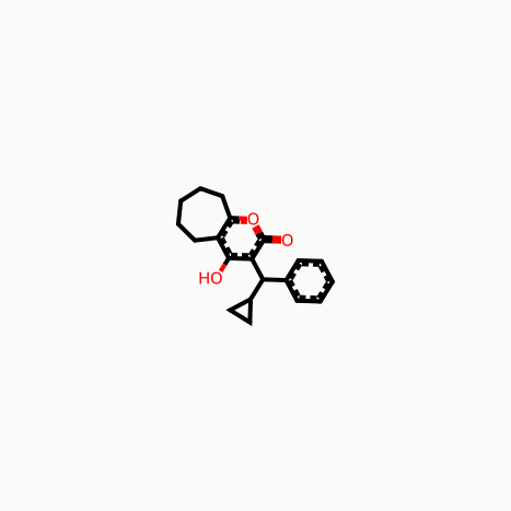 O=c1oc2c(c(O)c1C(c1ccccc1)C1CC1)CCCCC2